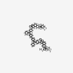 CC(C)(C)c1ccc2c(ccc3oc(=O)c(-c4ccc(N(c5ccccc5)c5ccc(-c6ccc(N(c7ccccc7)c7ccc(-c8cc9c(ccc%10cc(C(C)(C)C)ccc%109)oc8=O)cc7)cc6)cc5)cc4)cc32)c1